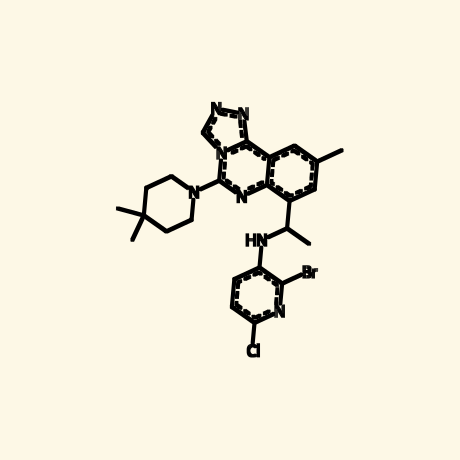 Cc1cc(C(C)Nc2ccc(Cl)nc2Br)c2nc(N3CCC(C)(C)CC3)n3cnnc3c2c1